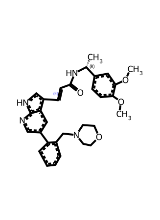 COc1ccc([C@@H](C)NC(=O)/C=C/c2c[nH]c3ncc(-c4ccccc4CN4CCOCC4)cc23)cc1OC